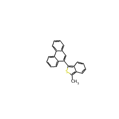 Cc1sc(-c2cc3ccccc3c3ccccc23)c2ccccc12